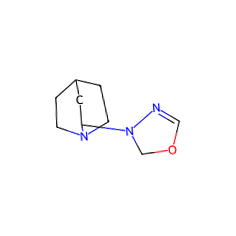 C1=NN(C2CC3CCN2CC3)CO1